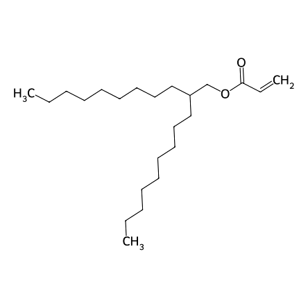 C=CC(=O)OCC(CCCCCCCCC)CCCCCCCCC